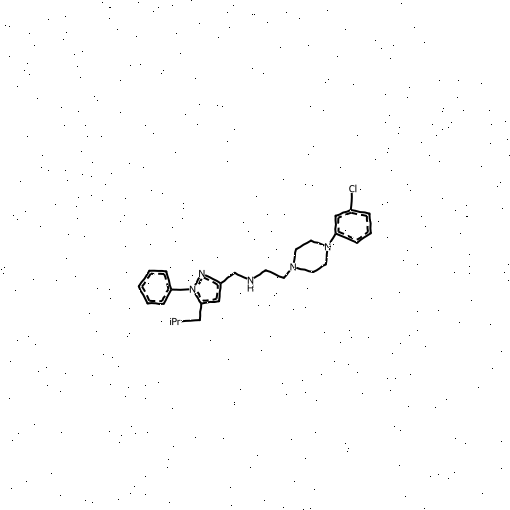 CC(C)Cc1cc(CNCCN2CCN(c3cccc(Cl)c3)CC2)nn1-c1ccccc1